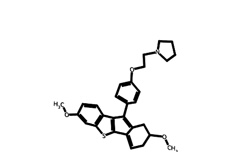 COc1ccc2c3c(sc2c1)C1=CCC(OC)CC1=C3c1ccc(OCCN2CCCC2)cc1